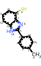 Cc1ccc(-c2nc3c(S)cccc3[nH]2)cc1